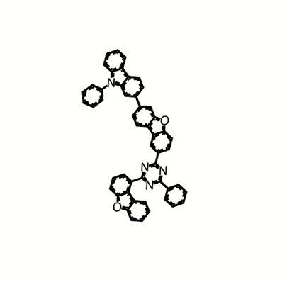 c1ccc(-c2nc(-c3ccc4oc5cc(-c6ccc7c8ccccc8n(-c8ccccc8)c7c6)ccc5c4c3)nc(-c3cccc4oc5ccccc5c34)n2)cc1